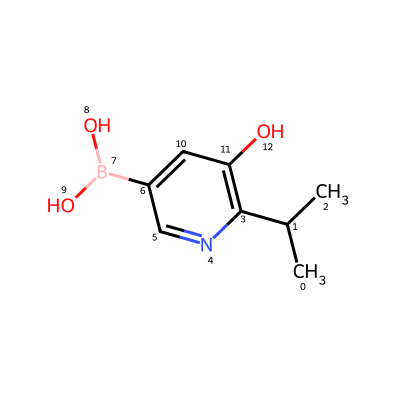 CC(C)c1ncc(B(O)O)cc1O